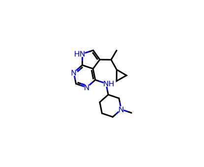 CC(c1c[nH]c2ncnc(NC3CCCN(C)C3)c12)C1CC1